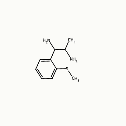 CSc1ccccc1C(N)C(C)N